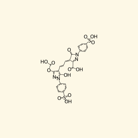 O=C(O)Oc1nn(-c2ccc(S(=O)(=O)O)cc2)c(O)c1C=CC=C1C(=O)N(c2ccc(S(=O)(=O)O)cc2)N=C1C(=O)O